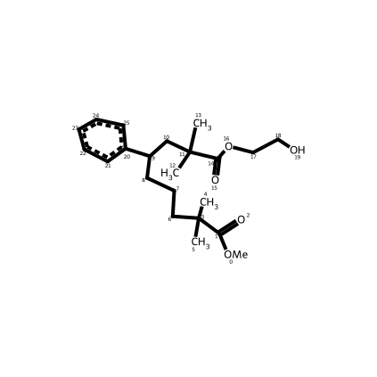 COC(=O)C(C)(C)CCCC(CC(C)(C)C(=O)OCCO)c1ccccc1